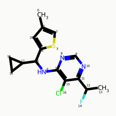 Cc1csc(C(Nc2ncnc(C(C)F)c2Cl)C2CC2)c1